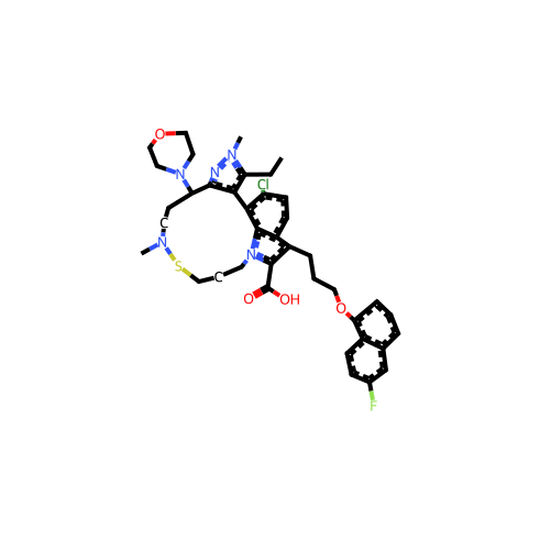 CCc1c2c(nn1C)C(N1CCOCC1)CCN(C)SCCCn1c(C(=O)O)c(CCCOc3cccc4cc(F)ccc34)c3ccc(Cl)c-2c31